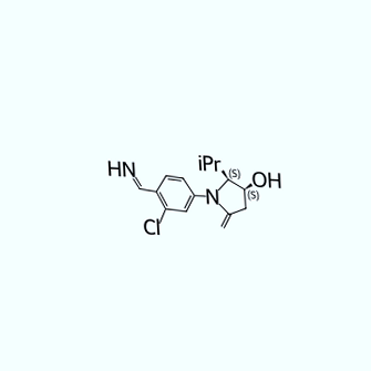 C=C1C[C@H](O)[C@H](C(C)C)N1c1ccc(C=N)c(Cl)c1